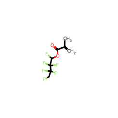 C=C(C)C(=O)OC(F)C(F)(F)C(F)(F)CF